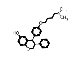 CN(C)CCCCOc1ccc([C@@H]2c3cc(O)ccc3OC[C@@H]2c2ccccc2)cc1